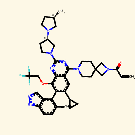 C=CC(=O)N1CC2(CCN(c3nc(N4CC[C@@H](N5CC[C@@H](C)C5)C4)nc4c(OCC(F)(F)F)c(-c5c(C)ccc6[nH]ncc56)c(C5CC5)cc34)CC2)C1